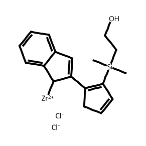 C[Si](C)(CCO)C1=C(C2=Cc3ccccc3[CH]2[Zr+2])CC=C1.[Cl-].[Cl-]